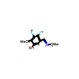 CO/N=C/c1cc(Br)c(OC)c(F)c1F